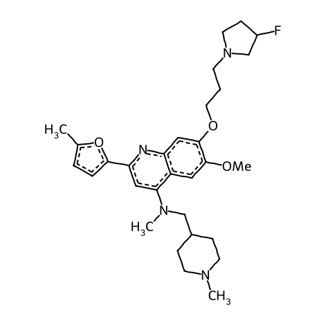 COc1cc2c(N(C)CC3CCN(C)CC3)cc(-c3ccc(C)o3)nc2cc1OCCCN1CCC(F)C1